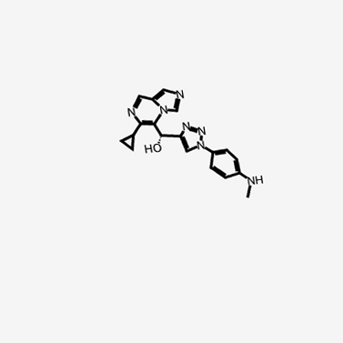 CNc1ccc(-n2cc([C@H](O)c3c(C4CC4)ncc4cncn34)nn2)cc1